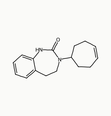 O=C1Nc2ccccc2CCN1C1CCC=CCC1